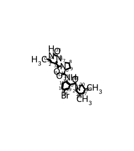 Cc1cc(C(=O)N2CCC[C@H]2C(=O)Nc2ccc(Br)cc2C(=O)N2C[C@H](C)C[C@H](C)C2)nc(=O)[nH]1